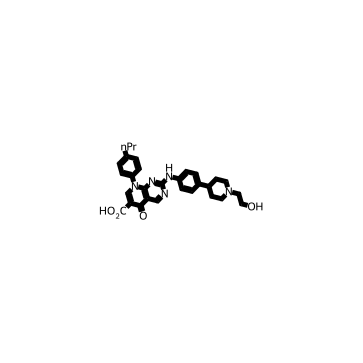 CCCc1ccc(-n2cc(C(=O)O)c(=O)c3cnc(Nc4ccc(C5CCN(CCO)CC5)cc4)nc32)cc1